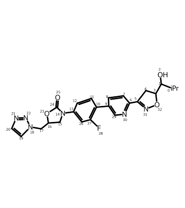 CC(C)C(O)C1CC(c2ccc(-c3ccc(N4CC(Cn5ccnn5)OC4=O)cc3F)cn2)=NO1